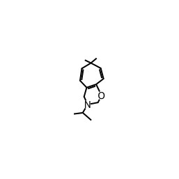 CC(C)N1COC2=C(C=CC(C)(C)C=C2)C1